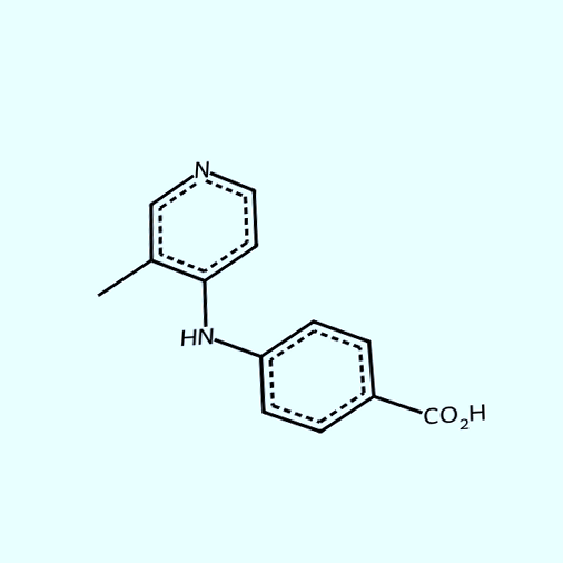 Cc1cnccc1Nc1ccc(C(=O)O)cc1